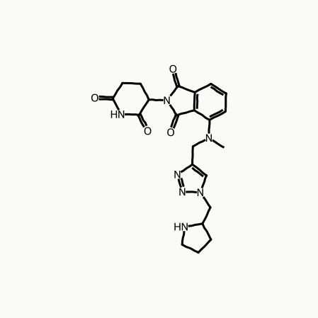 CN(Cc1cn(CC2CCCN2)nn1)c1cccc2c1C(=O)N(C1CCC(=O)NC1=O)C2=O